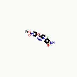 CC(C)OC(=O)N1CCC(Oc2ncnc3c2CCN3c2ccc([S@@](C)(=N)=O)cc2F)CC1